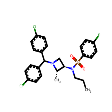 CCCN([C@@H]1CN(C(c2ccc(Cl)cc2)c2ccc(Cl)cc2)[C@H]1C)S(=O)(=O)c1ccc(F)cc1